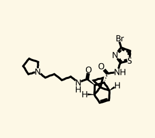 O=C(NCCCCN1CCCC1)[C@H]1[C@H](C(=O)Nc2nc(Br)cs2)[C@@H]2C=C[C@H]1C21CC1